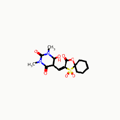 CN1C(=O)C(/C=C2\C(=O)OC3(CCCCC3)S2(=O)=O)C(O)N(C)C1=O